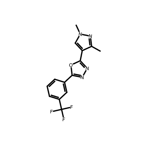 Cc1nn(C)cc1-c1nnc(-c2cccc(C(F)(F)F)c2)o1